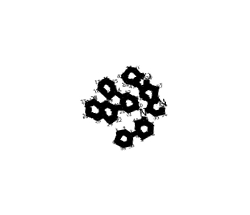 c1ccc(-c2cccc(N(c3ccc(-c4ccccc4)c(-c4ccc5ccccc5c4)c3)c3ccnc4cc5oc6ccccc6c5cc34)c2)cc1